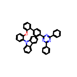 c1ccc(-c2nc(-c3ccccc3)nc(-c3ccc(-c4ccccc4Oc4ccccc4-n4c5ccccc5c5ccccc54)cc3)n2)cc1